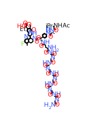 CC[C@@]1(O)C(=O)OCc2c1cc1n(c2=O)Cc2c-1nc1cc(F)c(C)c3c1c2[C@@H](NC(=O)O[C@H](CNC(=O)CC[C@H](N)C(=O)NCC(=O)N(C)CC(=O)NCC(=O)N(C)CC(=O)NCC(=O)N(C)CC(=O)NCC(=O)N(C)CC(=O)NCC(=O)N(C)CC(N)=O)c1ccc(NC(=O)[C@H](C)NC(=O)[C@@H](NC(C)=O)C(C)C)cc1)CC3